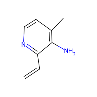 C=Cc1nccc(C)c1N